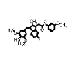 COc1cccc(NC(=O)CC2=C(C)/C(=C/c3cc(OC)c(O)c(OC)c3)c3ccc(F)cc32)c1